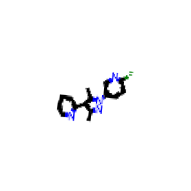 Cc1nn(-c2ccc(F)nc2)c(C)c1-c1ccccn1